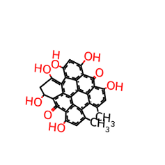 Cc1cc(O)c2c(=O)c3c4c(c5c(O)cc(O)c6c(=O)c7c(O)cc(C)c8c1c2c4c(c65)c78)=C(O)CC3O